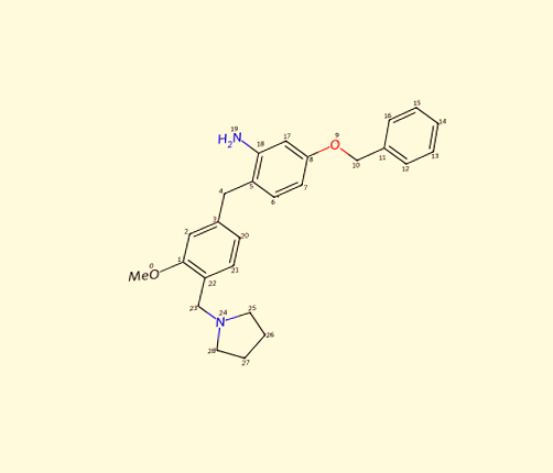 COc1cc(Cc2[c]cc(OCc3ccccc3)cc2N)ccc1CN1CCCC1